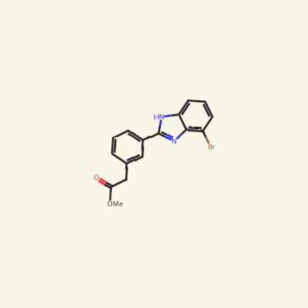 COC(=O)Cc1cccc(-c2nc3c(Br)cccc3[nH]2)c1